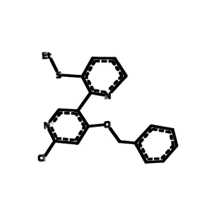 CCSc1cccnc1-c1cnc(Cl)cc1OCc1ccccc1